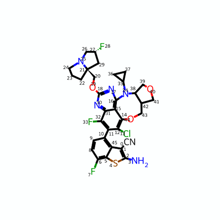 N#Cc1c(N)sc2c(F)ccc(-c3c(Cl)c4c5c(nc(OC[C@@]67CCCN6C[C@H](F)C7)nc5c3F)N(C3CC3)C3COCC3CO4)c12